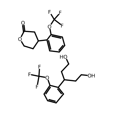 O=C1CC(c2ccccc2OC(F)(F)F)CCO1.OCCC(CCO)c1ccccc1OC(F)(F)F